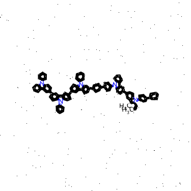 C/C=C\c1c(C)c2cc(-c3ccc4c(c3)c3ccccc3n4-c3ccc(-c4ccc(-c5ccc6c7cc(-c8ccc9c(c8)c8cc(-c%10ccc%11c(c%10)c%10ccccc%10n%11-c%10ccccc%10)ccc8n9-c8ccccc8)ccc7n(-c7ccccc7)c6c5)cc4)cc3)ccc2n1-c1ccc(-c2ccccc2)cc1